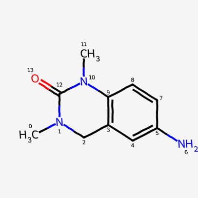 CN1Cc2cc(N)ccc2N(C)C1=O